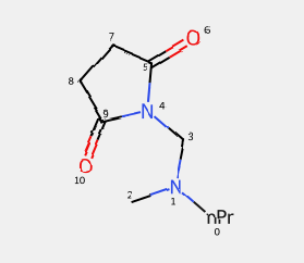 CCCN(C)CN1C(=O)CCC1=O